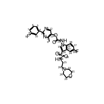 Cc1nc(-c2cccc(F)c2)ncc1OC(=O)Nn1cc(S(=O)(=O)NCCN2CCOCC2)c2cc(F)ccc21